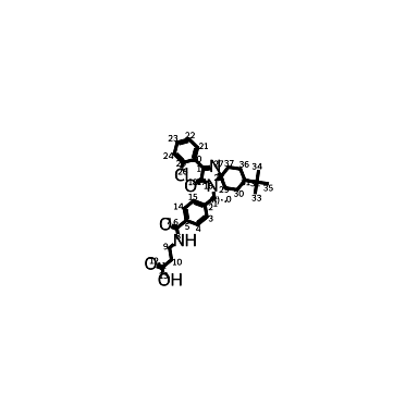 C[C@H](c1ccc(C(=O)NCCC(=O)O)cc1)N1C(=O)C(c2ccccc2Cl)=NC12CCC(C(C)(C)C)CC2